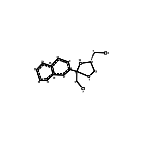 ClC[C@@H]1COC(CCl)(c2ccc3ccccc3c2)O1